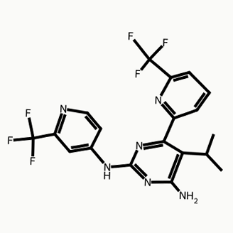 CC(C)c1c(N)nc(Nc2ccnc(C(F)(F)F)c2)nc1-c1cccc(C(F)(F)F)n1